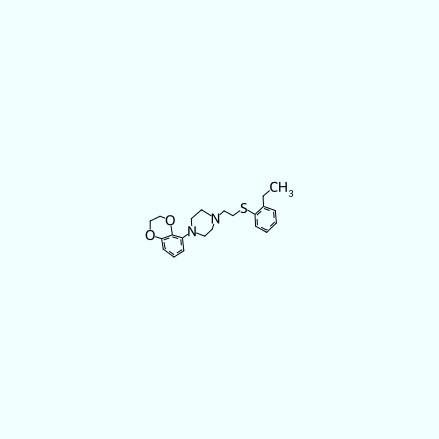 CCc1ccccc1SCCN1CCN(c2cccc3c2OCCO3)CC1